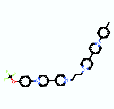 Cc1ccc(-[n+]2ccc(-c3cc[n+](CCC[n+]4ccc(-c5cc[n+](-c6ccc(OC(F)(F)F)cc6)cc5)cc4)cc3)cc2)cc1